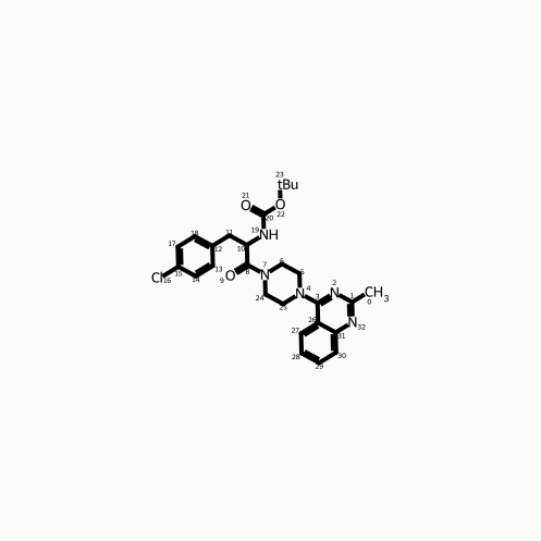 Cc1nc(N2CCN(C(=O)C(Cc3ccc(Cl)cc3)NC(=O)OC(C)(C)C)CC2)c2ccccc2n1